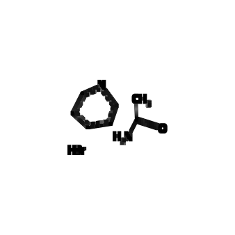 Br.CC(N)=O.c1ccncc1